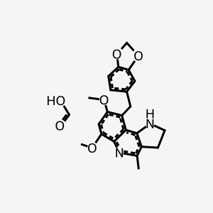 COc1cc(OC)c2nc(C)c3c(c2c1Cc1ccc2c(c1)OCO2)NCC3.O=CO